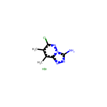 Br.Cc1c(Cl)nn2c(N)nnc2c1C